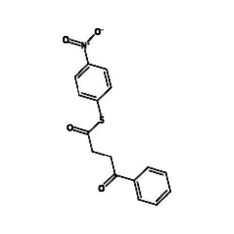 O=C(CCC(=O)c1ccccc1)Sc1ccc([N+](=O)[O-])cc1